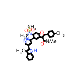 CNC(=O)c1c(-c2ccc(C)cc2)oc2cc(N(C)S(C)(=O)=O)c(-c3cc(-c4[nH]c5ccccc5c4C)cnn3)cc12